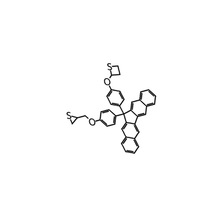 c1ccc2cc3c(cc2c1)-c1cc2ccccc2cc1C3(c1ccc(OCC2CS2)cc1)c1ccc(OC2CCS2)cc1